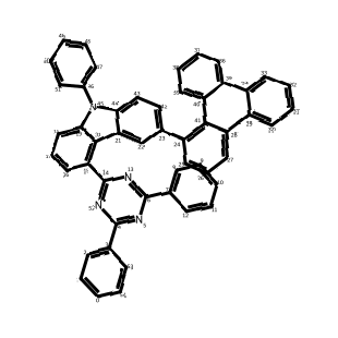 c1ccc(-c2nc(-c3ccccc3)nc(-c3cccc4c3c3cc(-c5cccc6c7ccccc7c7ccccc7c56)ccc3n4-c3ccccc3)n2)cc1